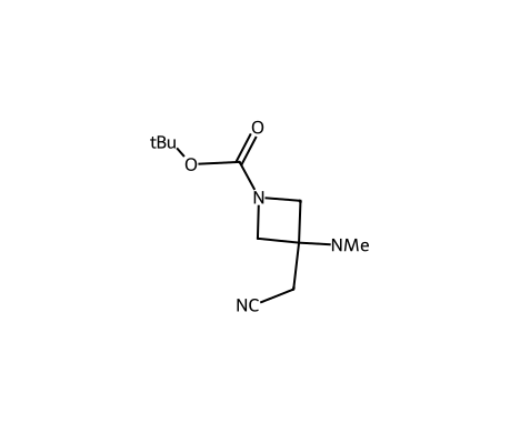 CNC1(CC#N)CN(C(=O)OC(C)(C)C)C1